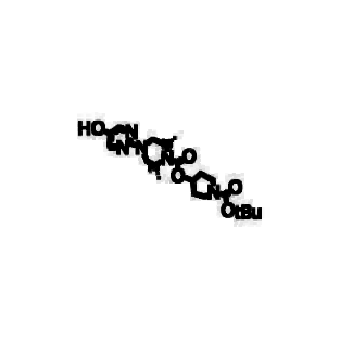 C[C@@H]1CN(c2ncc(O)cn2)C[C@H](C)N1C(=O)OC1CCN(C(=O)OC(C)(C)C)CC1